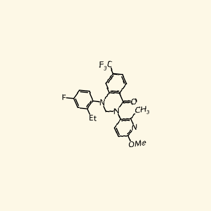 CCc1cc(F)ccc1N1CN(c2ccc(OC)nc2C)C(=O)c2ccc(C(F)(F)F)cc21